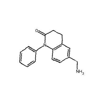 NCc1ccc2c(c1)CCC(=O)N2c1ccccc1